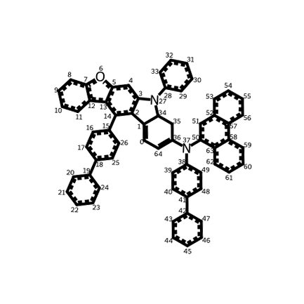 C1=C2c3c(cc4oc5ccccc5c4c3-c3ccc(-c4ccccc4)cc3)N(c3ccccc3)C2CC(N(c2ccc(-c3ccccc3)cc2)c2cc3ccccc3c3ccccc23)=C1